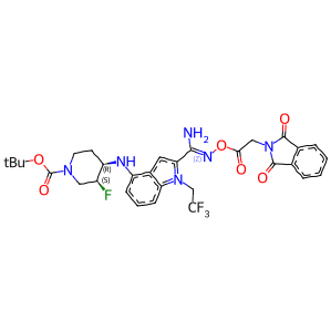 CC(C)(C)OC(=O)N1CC[C@@H](Nc2cccc3c2cc(/C(N)=N/OC(=O)CN2C(=O)c4ccccc4C2=O)n3CC(F)(F)F)[C@@H](F)C1